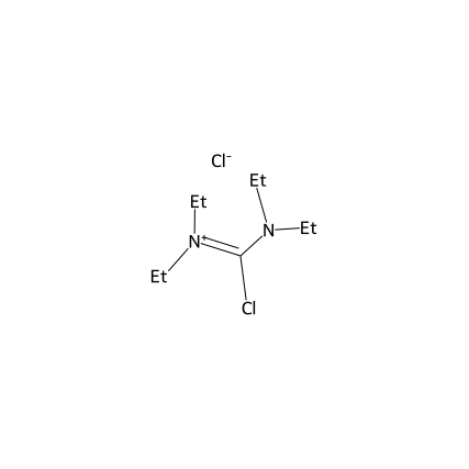 CCN(CC)C(Cl)=[N+](CC)CC.[Cl-]